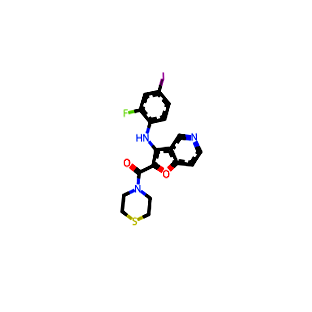 O=C(c1oc2ccncc2c1Nc1ccc(I)cc1F)N1CCSCC1